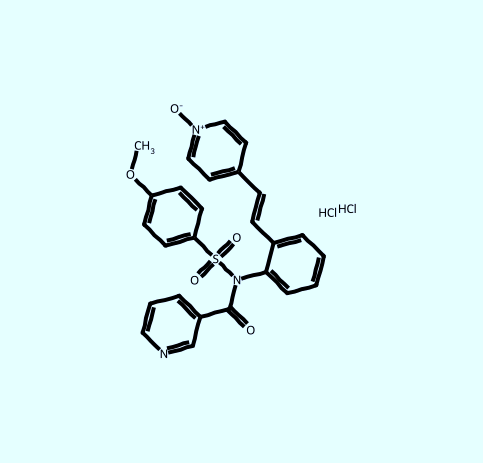 COc1ccc(S(=O)(=O)N(C(=O)c2cccnc2)c2ccccc2C=Cc2cc[n+]([O-])cc2)cc1.Cl.Cl